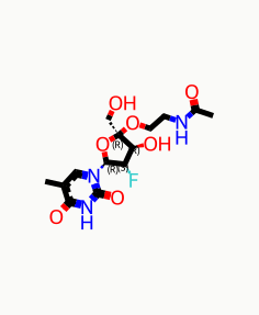 CC(=O)NCCO[C@]1(CO)O[C@@H](n2cc(C)c(=O)[nH]c2=O)[C@@H](F)[C@@H]1O